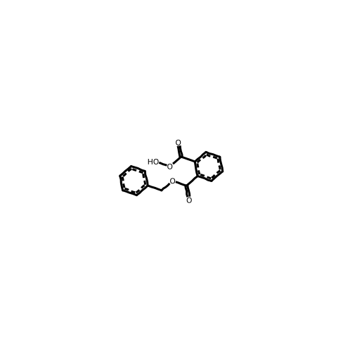 O=C(OO)c1ccccc1C(=O)OCc1ccccc1